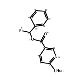 CCCCCCCCCc1ccc(C(=O)OC(CC)c2ccccc2)cn1